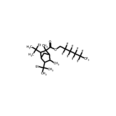 CCC(C)(C)C1C(C)C2CC1C(C(C)(C)CC)C2(C)C(=O)OCC(F)(F)C(F)(F)C(F)(F)C(F)(F)C(F)(F)F